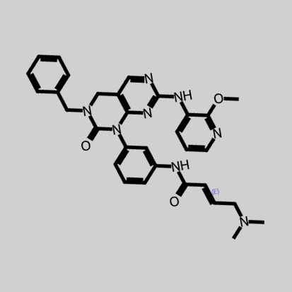 COc1ncccc1Nc1ncc2c(n1)N(c1cccc(NC(=O)/C=C/CN(C)C)c1)C(=O)N(Cc1ccccc1)C2